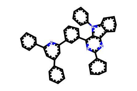 c1ccc(-c2cc(-c3ccccc3)nc(-c3cccc(-c4nc(-c5ccccc5)nc5c6ccccc6n(-c6ccccc6)c45)c3)c2)cc1